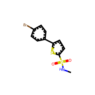 CNS(=O)(=O)c1ccc(-c2ccc(Br)cc2)s1